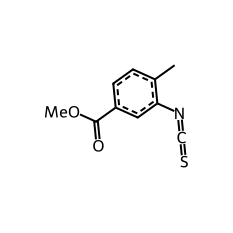 COC(=O)c1ccc(C)c(N=C=S)c1